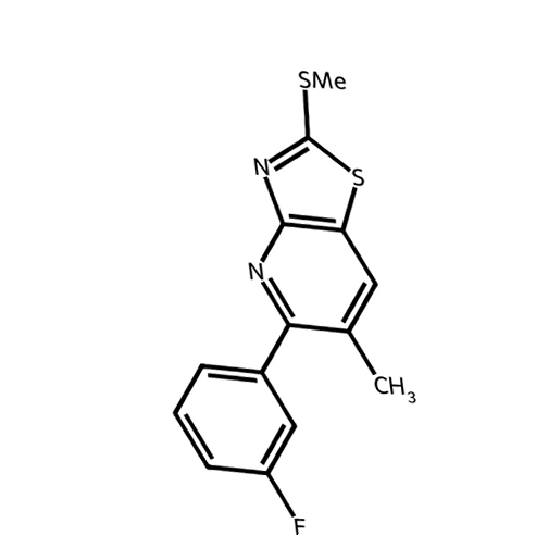 CSc1nc2nc(-c3cccc(F)c3)c(C)cc2s1